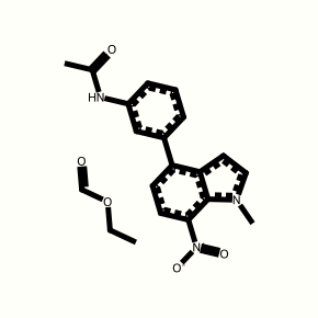 CC(=O)Nc1cccc(-c2ccc([N+](=O)[O-])c3c2ccn3C)c1.CCOC=O